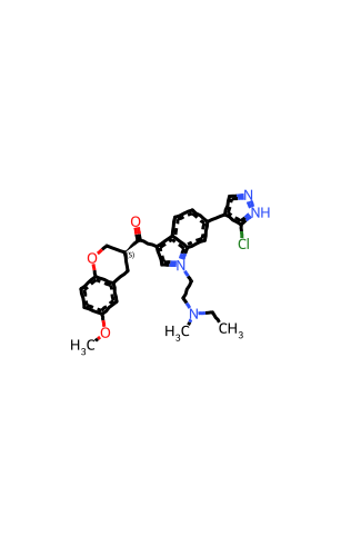 CCN(C)CCn1cc(C(=O)[C@@H]2COc3ccc(OC)cc3C2)c2ccc(-c3cn[nH]c3Cl)cc21